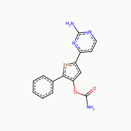 NC(=O)Oc1cc(-c2ccnc(N)n2)sc1-c1ccccc1